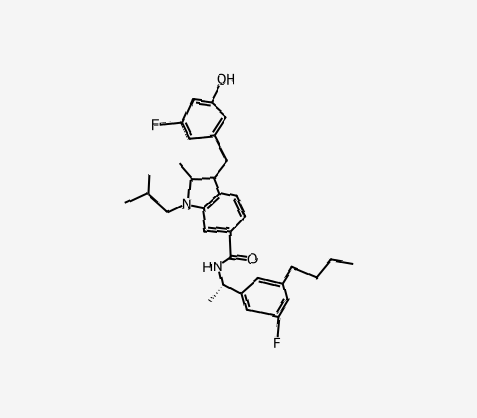 CCCCc1cc(F)cc([C@H](C)NC(=O)c2ccc3c(c2)N(CC(C)C)C(C)C3Cc2cc(O)cc(F)c2)c1